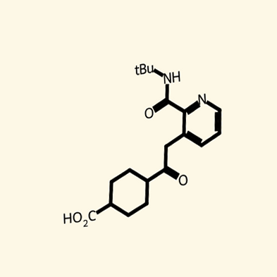 CC(C)(C)NC(=O)c1ncccc1CC(=O)C1CCC(C(=O)O)CC1